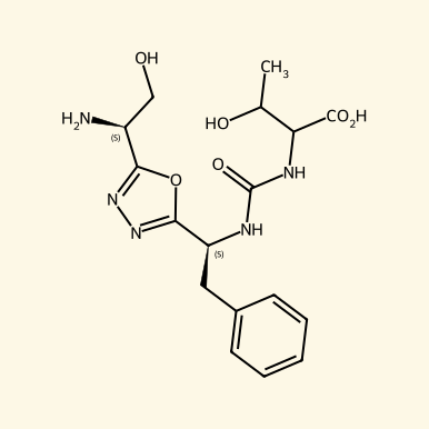 CC(O)C(NC(=O)N[C@@H](Cc1ccccc1)c1nnc([C@@H](N)CO)o1)C(=O)O